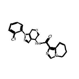 O=C(NC1COCc2c1cnn2-c1ccccc1Cl)c1ncn2c1CCCC2